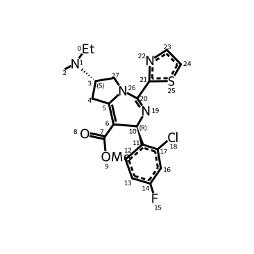 CCN(C)[C@H]1CC2=C(C(=O)OC)[C@H](c3ccc(F)cc3Cl)N=C(c3nccs3)N2C1